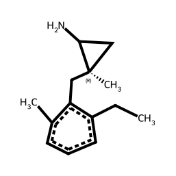 CCc1cccc(C)c1C[C@]1(C)CC1N